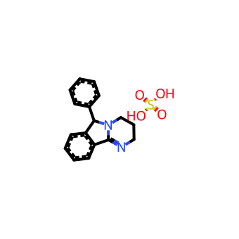 O=S(=O)(O)O.c1ccc(C2c3ccccc3C3=NCCCN32)cc1